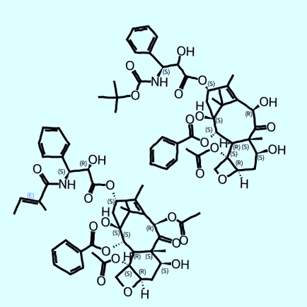 C/C=C(\C)C(=O)N[C@@H](c1ccccc1)[C@@H](O)C(=O)O[C@H]1C[C@@]2(O)[C@@H](OC(=O)c3ccccc3)[C@@H]3[C@]4(OC(C)=O)CO[C@@H]4C[C@H](O)[C@@]3(C)C(=O)[C@H](OC(C)=O)C(=C1C)C2(C)C.CC(=O)O[C@@]12CO[C@@H]1C[C@H](O)[C@@]1(C)C(=O)[C@H](O)C3=C(C)[C@@H](OC(=O)C(O)[C@@H](NC(=O)OC(C)(C)C)c4ccccc4)C[C@@](O)([C@@H](OC(=O)c4ccccc4)[C@H]21)C3(C)C